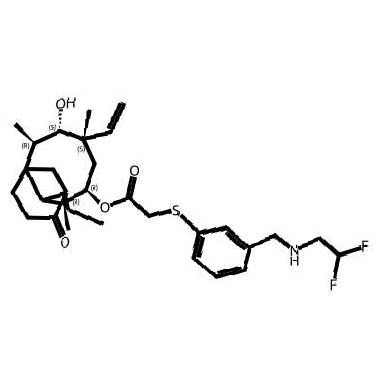 C=C[C@]1(C)C[C@@H](OC(=O)CSc2cccc(CNCC(F)F)c2)[C@]2(C)C(C)CC34CC(CCC3=O)(C42)[C@@H](C)[C@@H]1O